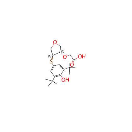 CC(C)(C)c1cc(S[C@H]2COC[C@@H]2OCC(=O)O)cc(C(C)(C)C)c1O